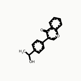 CC(O)c1ccc(-c2coc3ccccc3c2=O)cc1